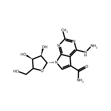 Cc1nc(NN)c2c(C(N)=O)cn([C@@H]3OC(CO)[C@@H](O)[C@H]3O)c2n1